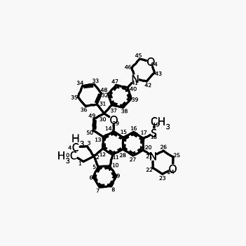 CCC1(CC)c2ccccc2-c2c1c1c(c3cc(SC)c(N4CCOCC4)cc23)OC(C2=CC=CCC2)(c2ccc(N3CCOCC3)cc2)C=C1